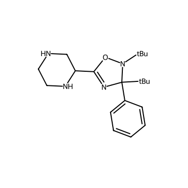 CC(C)(C)N1OC(C2CNCCN2)=NC1(c1ccccc1)C(C)(C)C